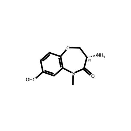 CN1C(=O)[C@@H](N)COc2ccc(C=O)cc21